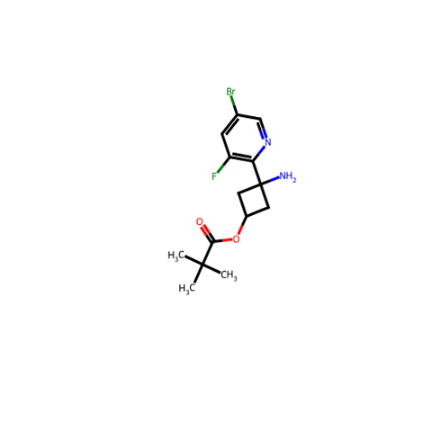 CC(C)(C)C(=O)OC1CC(N)(c2ncc(Br)cc2F)C1